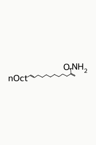 C=C(CCCCCCCCC=CCCCCCCCC)C(N)=O